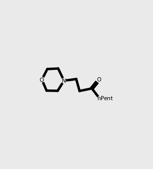 CCCCCC(=O)CCN1CCOCC1